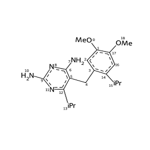 COc1cc(Cc2c(N)nc(N)nc2C(C)C)c(C(C)C)cc1OC